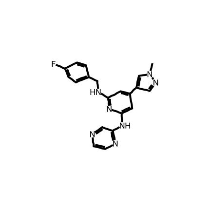 Cn1cc(-c2cc(NCc3ccc(F)cc3)nc(Nc3cnccn3)c2)cn1